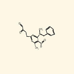 Cc1nc(CCC(=O)C=O)nc(N(C)Cc2ccccc2)c1[N+](=O)[O-]